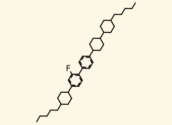 CCCCCC1CCC(c2ccc(-c3ccc(C4CCC(C5CCC(CCCCC)CC5)CC4)cc3)c(F)c2)CC1